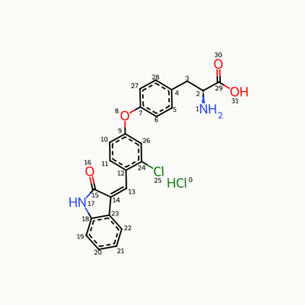 Cl.N[C@@H](Cc1ccc(Oc2ccc(C=C3C(=O)Nc4ccccc43)c(Cl)c2)cc1)C(=O)O